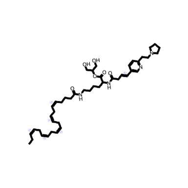 CC/C=C\C/C=C\C/C=C\C/C=C\C/C=C\CCCC(=O)NCCCCC(NC(=O)C/C=C/c1ccc(CCN2CCCC2)nc1)C(=O)OC(CO)CO